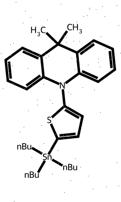 CCC[CH2][Sn]([CH2]CCC)([CH2]CCC)[c]1ccc(N2c3ccccc3C(C)(C)c3ccccc32)s1